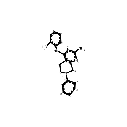 Nc1nc2c(c(Nc3ccccc3O)n1)CCN(c1ccccc1)C2